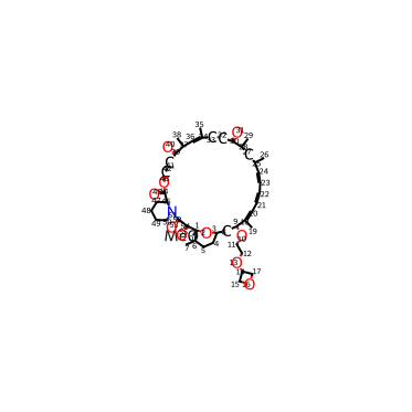 COC12OC(CCC1C)CC(OCCOC1COC1)C(C)=CC=CC=CC(C)CC(C)C(=O)CCC(C)=CC(C)C(=O)CCOC(=O)C1CCCCN1C(=O)C2=O